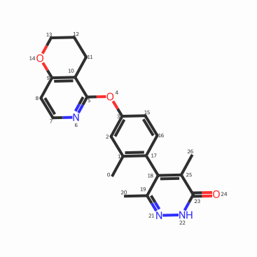 Cc1cc(Oc2nccc3c2CCCO3)ccc1-c1c(C)n[nH]c(=O)c1C